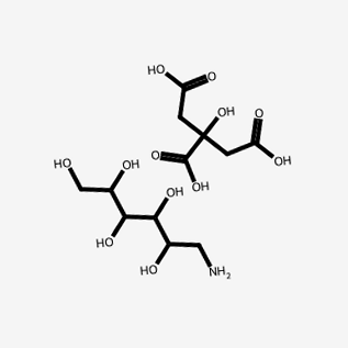 NCC(O)C(O)C(O)C(O)CO.O=C(O)CC(O)(CC(=O)O)C(=O)O